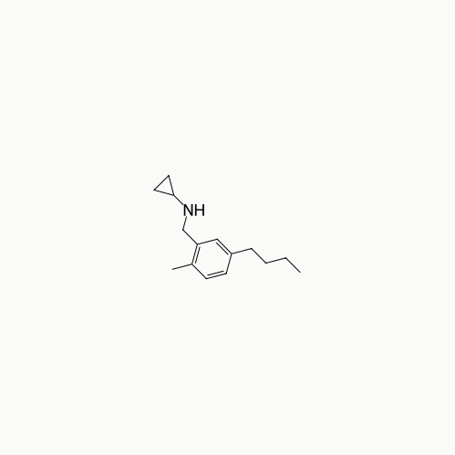 CCCCc1ccc(C)c(CNC2CC2)c1